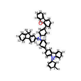 Cc1cccc(-n2c3ccccc3c3cc(-c4ccc(N(c5ccc(-c6cccc7c6oc6ccccc67)cc5)c5ccc6c(c5)C(C)(C)c5ccccc5-6)cc4)ccc32)c1